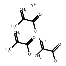 C=C(C)C(=O)[O-].C=C(C)C(=O)[O-].C=C(C)C(=O)[O-].[Y+3]